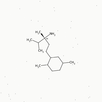 CC1CCC(C)C(CC[C@@](C)(N)C(C)C)C1